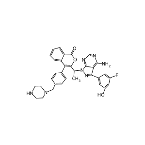 CC(c1oc(=O)c2ccccc2c1-c1ccc(CN2CCNCC2)cc1)n1nc(-c2cc(O)cc(F)c2)c2c(N)ncnc21